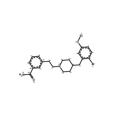 CCOc1ccc(Br)c(CC2CCN(CCc3cccc(C(N)=O)c3)CC2)c1